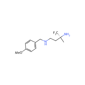 COc1ccc(CNCC[C@](C)(N)C(F)(F)F)cc1